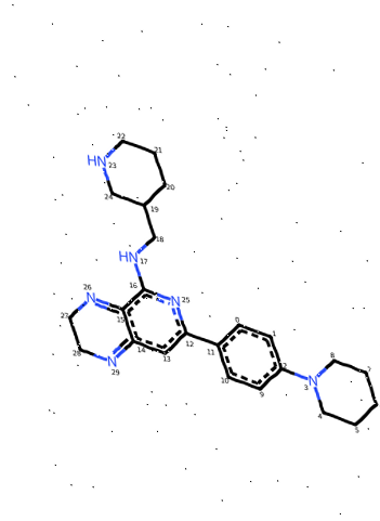 c1cc(N2CCCCC2)ccc1-c1cc2c(c(NCC3CCCNC3)n1)=NCCN=2